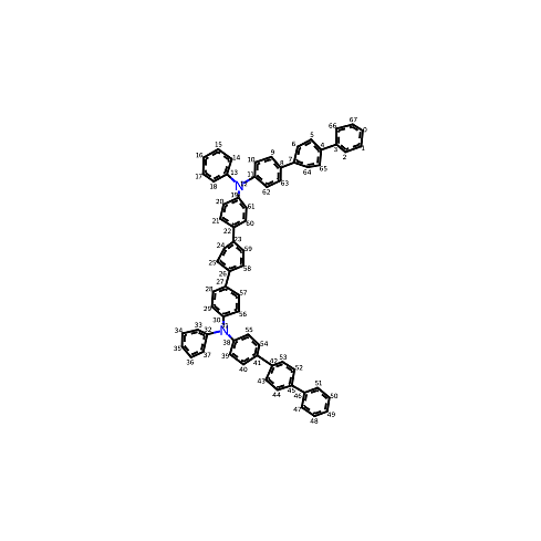 c1ccc(-c2ccc(-c3ccc(N(c4ccccc4)c4ccc(-c5ccc(-c6ccc(N(c7ccccc7)c7ccc(-c8ccc(-c9ccccc9)cc8)cc7)cc6)cc5)cc4)cc3)cc2)cc1